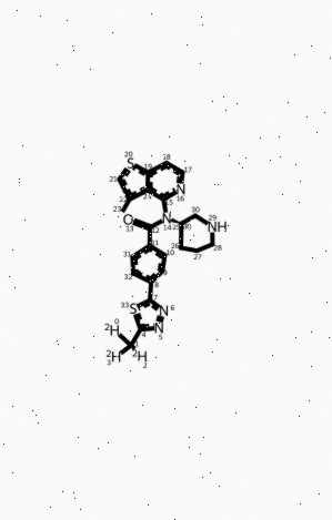 [2H]C([2H])([2H])c1nnc(-c2ccc(C(=O)N(c3nccc4scc(C)c34)[C@@H]3CCCNC3)cc2)s1